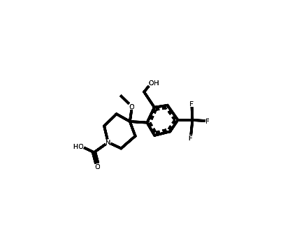 COC1(c2ccc(C(F)(F)F)cc2CO)CCN(C(=O)O)CC1